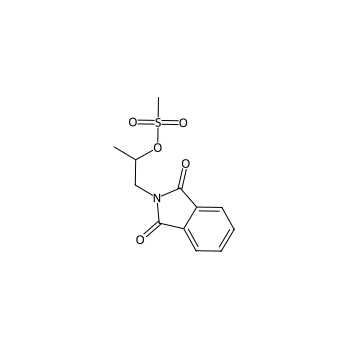 CC(CN1C(=O)c2ccccc2C1=O)OS(C)(=O)=O